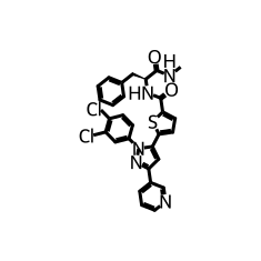 CNC(=O)[C@H](Cc1ccccc1)NC(=O)c1ccc(-c2cc(-c3cccnc3)nn2-c2ccc(Cl)c(Cl)c2)s1